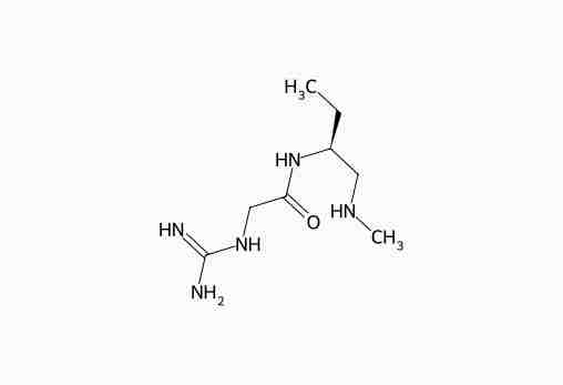 CC[C@@H](CNC)NC(=O)CNC(=N)N